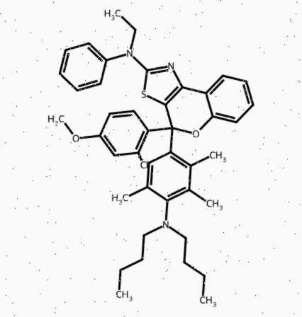 CCCCN(CCCC)c1c(C)cc(C2(c3ccc(OC)cc3Cl)Oc3ccccc3-c3nc(N(CC)c4ccccc4)sc32)c(C)c1C